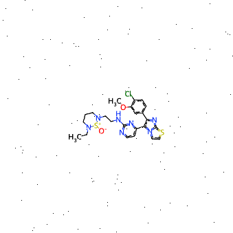 CCN1CCCN(CCNc2nccc(-c3c(-c4ccc(Cl)c(OC)c4)nc4sccn34)n2)[S+]1[O-]